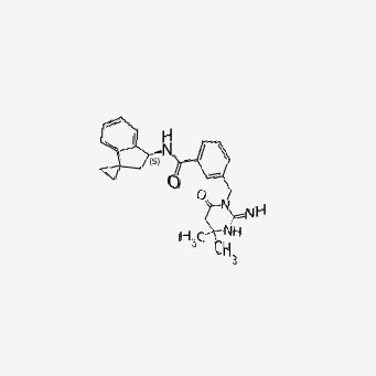 CC1(C)CC(=O)N(Cc2cccc(C(=O)N[C@H]3CC4(CC4)c4ccccc43)c2)C(=N)N1